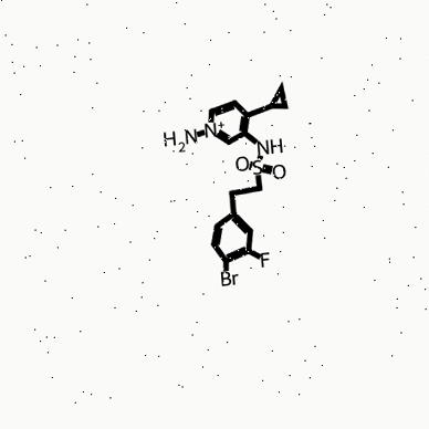 N[n+]1ccc(C2CC2)c(NS(=O)(=O)CCc2ccc(Br)c(F)c2)c1